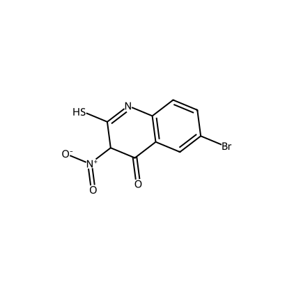 O=C1c2cc(Br)ccc2N=C(S)C1[N+](=O)[O-]